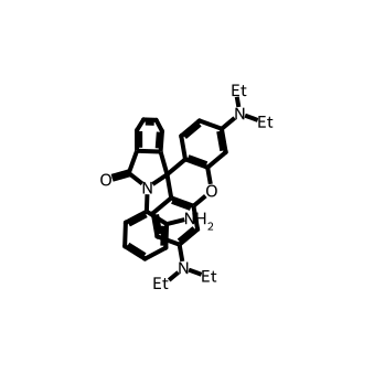 CCN(CC)c1ccc2c(c1)Oc1cc(N(CC)CC)ccc1C21c2ccccc2C(=O)N1c1ccccc1N